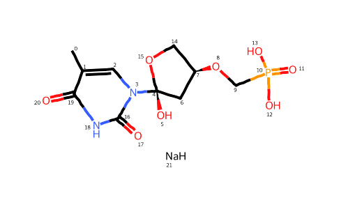 Cc1cn([C@@]2(O)C[C@H](OCP(=O)(O)O)CO2)c(=O)[nH]c1=O.[NaH]